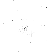 COC(=O)N[C@H]1CC[C@H](n2cc(C(=O)O)c(=O)n([C@@H]3CCc4c3cccc4C(F)(F)F)c2=O)CC1